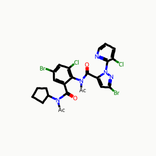 CC(=O)N(C(=O)c1cc(Br)nn1-c1ncccc1Cl)c1c(Cl)cc(Br)cc1C(=O)N(C(C)=O)C1CCCC1